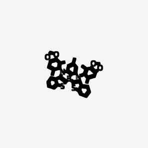 Cc1cc2c3c(c1)N(c1c(C)cc4c(c1C)OCO4)c1c(sc4ccccc14)B3c1sc3ccccc3c1N2c1c(C)cc2c(c1C)OCO2